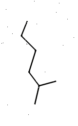 [CH2]C(C)[CH]CCC